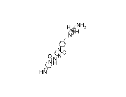 NC[C@@H]1[C@H]2CN(CCc3ccc(-n4ccc(NC(=O)N5CCC6(CC5)CNC6)nc4=O)cc3)C[C@@H]12